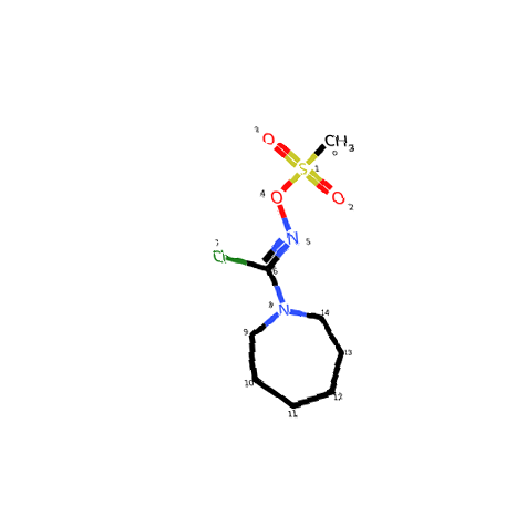 CS(=O)(=O)ON=C(Cl)N1CCCCCC1